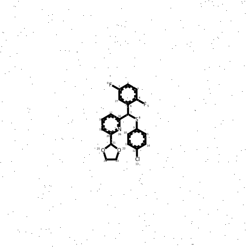 Fc1ccc(F)c(C(Sc2ccc(Cl)cc2)c2cccc(C3OCCO3)n2)c1